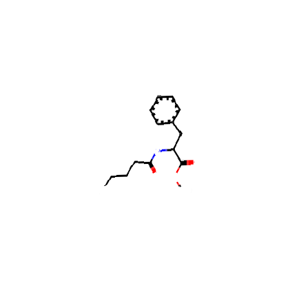 CCCCC(=O)NC(Cc1ccccc1)C(=O)OC